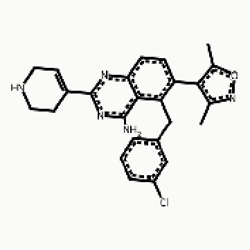 Cc1noc(C)c1-c1ccc2nc(C3=CCNCC3)nc(N)c2c1Cc1cccc(Cl)c1